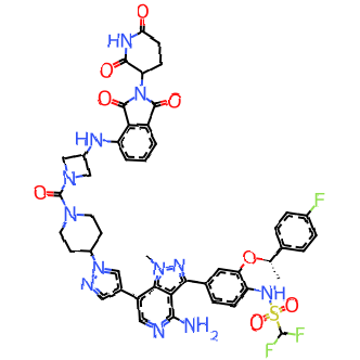 C[C@H](Oc1cc(-c2nn(C)c3c(-c4cnn(C5CCN(C(=O)N6CC(Nc7cccc8c7C(=O)N(C7CCC(=O)NC7=O)C8=O)C6)CC5)c4)cnc(N)c23)ccc1NS(=O)(=O)C(F)F)c1ccc(F)cc1